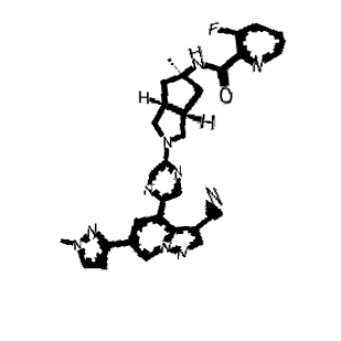 Cn1ccc(-c2cc(-c3cnc(N4C[C@@H]5C[C@@](C)(NC(=O)c6ncccc6F)C[C@@H]5C4)cn3)c3c(C#N)cnn3c2)n1